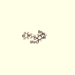 COc1cc2ncnc(Br)c2cc1OCCCN1CCOCC1